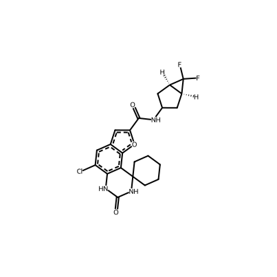 O=C1Nc2c(Cl)cc3cc(C(=O)NC4C[C@@H]5[C@H](C4)C5(F)F)oc3c2C2(CCCCC2)N1